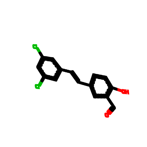 O=Cc1cc(/C=C/c2cc(Cl)cc(Cl)c2)ccc1O